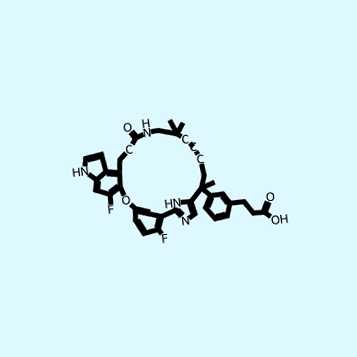 CC1(C)CCCCC(C)(c2cccc(CCC(=O)O)c2)c2cnc([nH]2)-c2cc(ccc2F)Oc2c(F)cc3[nH]ccc3c2CCC(=O)NC1